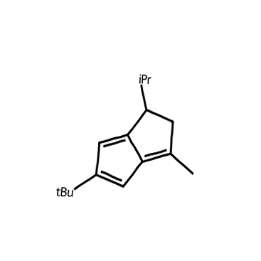 CC1=C2C=C(C(C)(C)C)C=C2C(C(C)C)C1